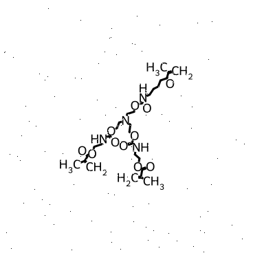 C=C(C)C(=O)CCCCNC(=O)OCCN(CCOC(=O)NCCOC(=O)C(=C)C)CCOC(=O)NCCOC(=O)C(=C)C